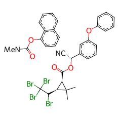 CC1(C)[C@H](C(=O)O[C@H](C#N)c2cccc(Oc3ccccc3)c2)[C@@H]1C(Br)C(Br)(Br)Br.CNC(=O)Oc1cccc2ccccc12